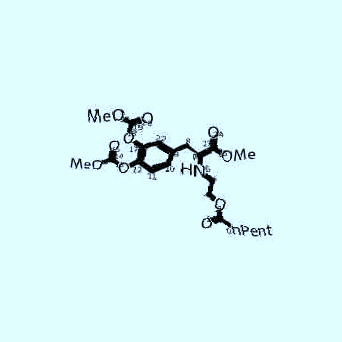 CCCCCC(=O)OCCN[C@@H](Cc1ccc(OC(=O)OC)c(OC(=O)OC)c1)C(=O)OC